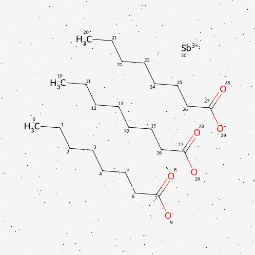 CCCCCCCC(=O)[O-].CCCCCCCC(=O)[O-].CCCCCCCC(=O)[O-].[Sb+3]